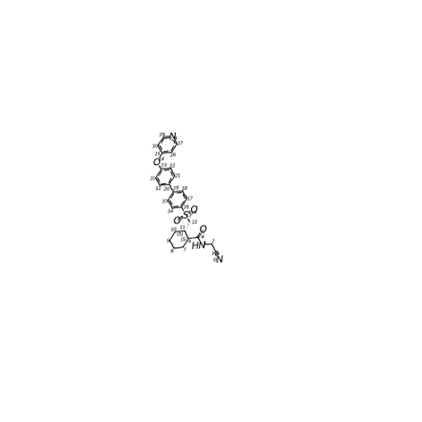 N#CCNC(=O)[C@H]1CCCC[C@@H]1CS(=O)(=O)c1ccc(-c2ccc(Oc3ccncc3)cc2)cc1